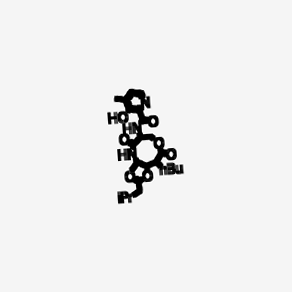 CCCCC1C(=O)OCC(NC(=O)c2nccc(C)c2O)C(=O)NC(C)C1OC(=O)CC(C)C